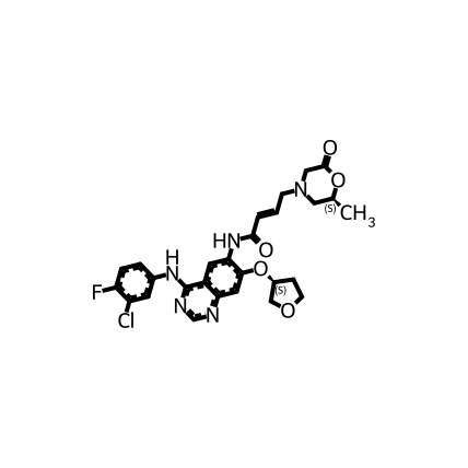 C[C@H]1CN(CC=CC(=O)Nc2cc3c(Nc4ccc(F)c(Cl)c4)ncnc3cc2O[C@H]2CCOC2)CC(=O)O1